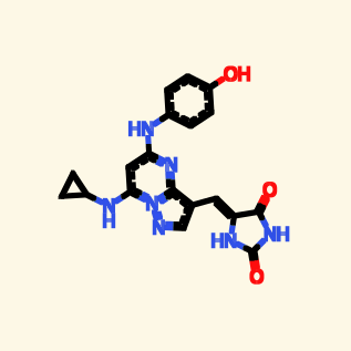 O=C1NC(=O)/C(=C/c2cnn3c(NC4CC4)cc(Nc4ccc(O)cc4)nc23)N1